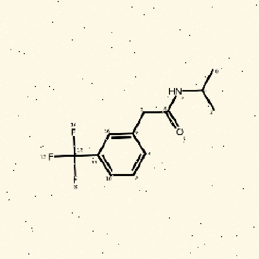 CC(C)NC(=O)Cc1cccc(C(F)(F)F)c1